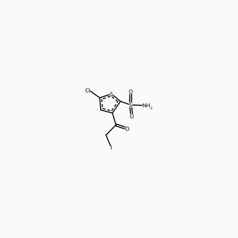 NS(=O)(=O)c1sc(Cl)cc1C(=O)CI